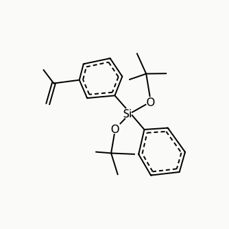 C=C(C)c1cccc([Si](OC(C)(C)C)(OC(C)(C)C)c2ccccc2)c1